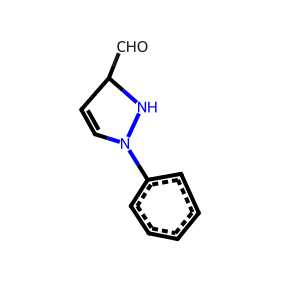 O=CC1C=CN(c2ccccc2)N1